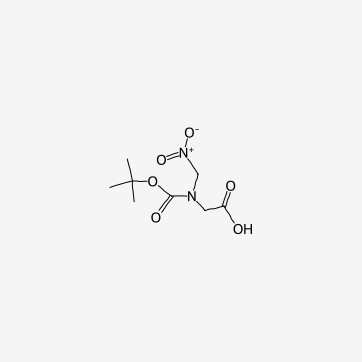 CC(C)(C)OC(=O)N(CC(=O)O)C[N+](=O)[O-]